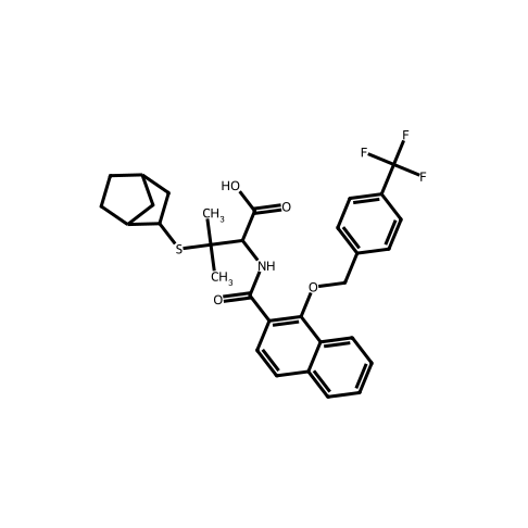 CC(C)(SC1CC2CCC1C2)C(NC(=O)c1ccc2ccccc2c1OCc1ccc(C(F)(F)F)cc1)C(=O)O